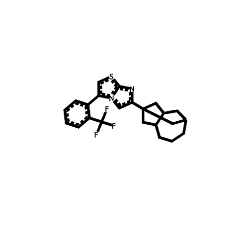 FC(F)(F)c1ccccc1-c1csc2nc(C34CC5CCCC(C3)C(C5)C4)cn12